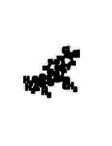 COC(=O)C[C@]1(c2ccc(Cl)c(Cl)c2)CCCN(C(=O)OC(C)(C)C)C1